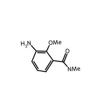 CNC(=O)c1cccc(N)c1OC